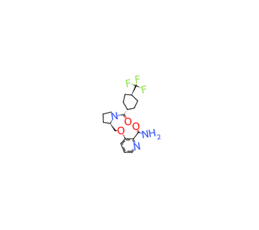 NC(=O)c1ncccc1OC[C@H]1CCCN1C(=O)[C@H]1CC[C@H](C(F)(F)F)CC1